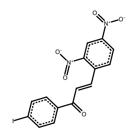 O=C(/C=C/c1ccc([N+](=O)[O-])cc1[N+](=O)[O-])c1ccc(I)cc1